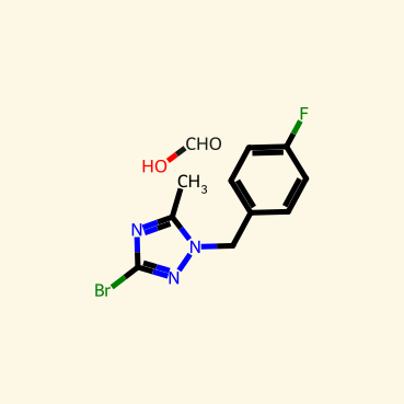 Cc1nc(Br)nn1Cc1ccc(F)cc1.O=CO